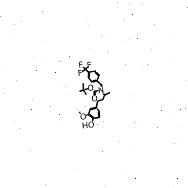 COc1cc(CCC(C)N(Cc2ccc(C(F)(F)F)cc2)C(=O)OC(C)(C)C)ccc1O